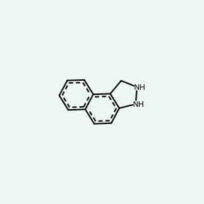 c1ccc2c3c(ccc2c1)NNC3